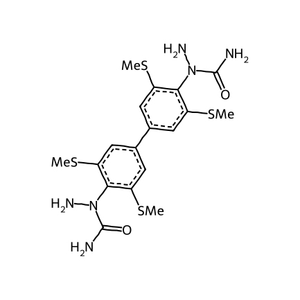 CSc1cc(-c2cc(SC)c(N(N)C(N)=O)c(SC)c2)cc(SC)c1N(N)C(N)=O